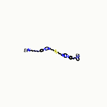 CC/N=C/CC/C=C/C=C/c1ccc(N2CCCN(CCCCSSCCCCN3CCCN(c4ccc(/C=C/C5=CCCC=[N+]5CC)cc4)CC3)CC2)cc1